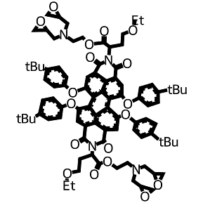 CCOCCC(C(=O)OCCN(CC1CO1)CC1CO1)N1C(=O)c2cc(Oc3ccc(C(C)(C)C)cc3)c3c4c(Oc5ccc(C(C)(C)C)cc5)cc5c6c(cc(Oc7ccc(C(C)(C)C)cc7)c(c7c(Oc8ccc(C(C)(C)C)cc8)cc(c2c37)C1=O)c64)C(=O)N(C(CCOCC)C(=O)OCCN(CC1CO1)CC1CO1)C5=O